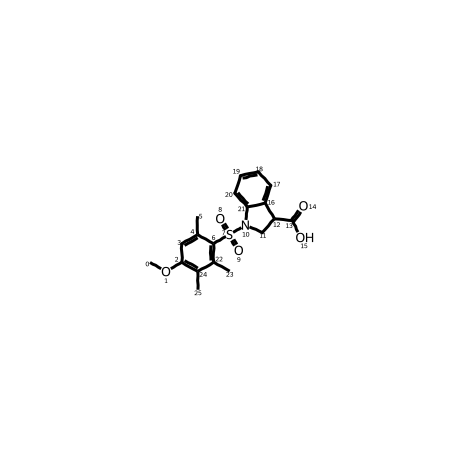 COc1cc(C)c(S(=O)(=O)N2CC(C(=O)O)c3ccccc32)c(C)c1C